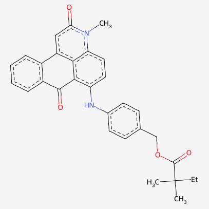 CCC(C)(C)C(=O)OCc1ccc(Nc2ccc3c4c(cc(=O)n3C)-c3ccccc3C(=O)c24)cc1